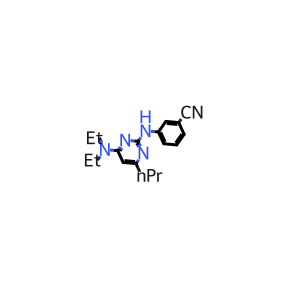 CCCc1cc(N(CC)CC)nc(Nc2cccc(C#N)c2)n1